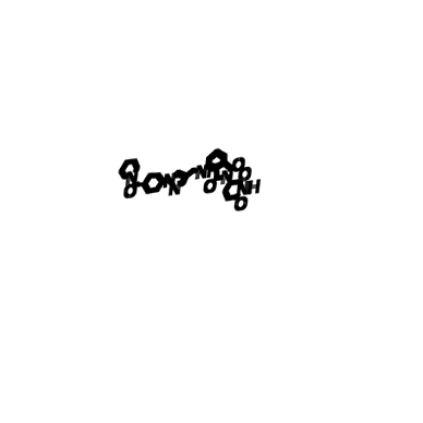 O=C1CCC(N2C(=O)c3cccc(NCc4cnn([C@H]5CC[C@H](C(=O)N6CCCCC6)CC5)c4)c3C2=O)C(=O)N1